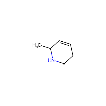 CC1C=CC[C]N1